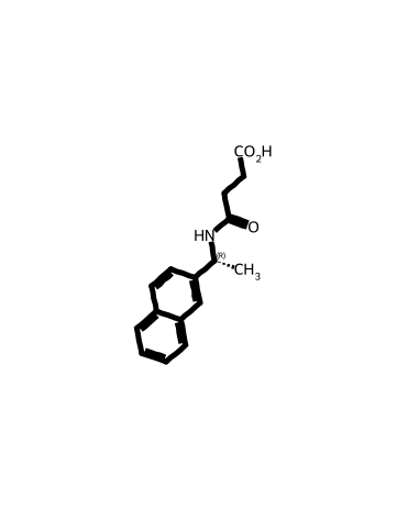 C[C@@H](NC(=O)CCC(=O)O)c1ccc2ccccc2c1